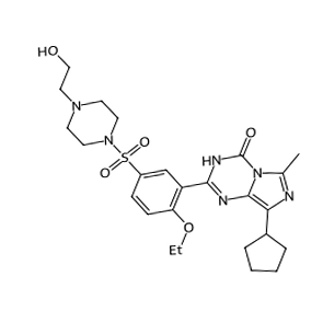 CCOc1ccc(S(=O)(=O)N2CCN(CCO)CC2)cc1-c1nc2c(C3CCCC3)nc(C)n2c(=O)[nH]1